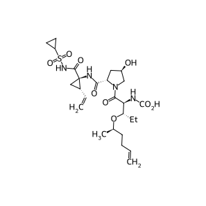 C=CCC[C@@H](C)O[C@@H](CC)[C@H](NC(=O)O)C(=O)N1C[C@H](O)C[C@H]1C(=O)N[C@]1(C(=O)NS(=O)(=O)C2CC2)C[C@H]1C=C